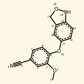 COc1cc(C#N)ccc1Oc1ccc2c(c1)COB2